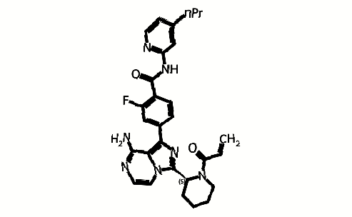 C=CC(=O)N1CCCC[C@H]1c1nc(-c2ccc(C(=O)Nc3cc(CCC)ccn3)c(F)c2)c2c(N)nccn12